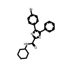 O=C(NC1CCCCC1)c1nc(-c2ccc(Br)cc2)c(-c2ccccc2)s1